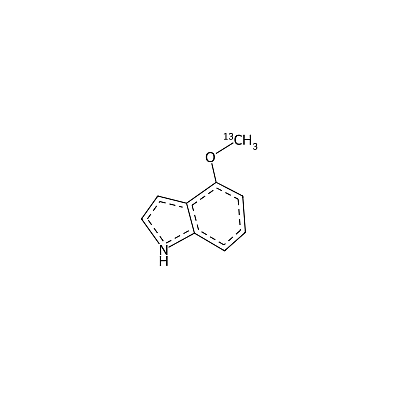 [13CH3]Oc1cccc2[nH]ccc12